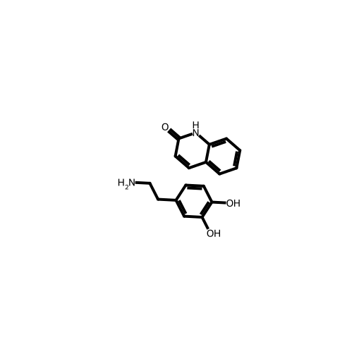 NCCc1ccc(O)c(O)c1.O=c1ccc2ccccc2[nH]1